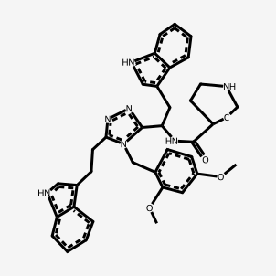 COc1ccc(Cn2c(CCc3c[nH]c4ccccc34)nnc2C(Cc2c[nH]c3ccccc23)NC(=O)C2CCNCC2)c(OC)c1